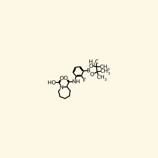 CC1(C)OB(c2cccc(NC(=O)C3CCCCCN3C(=O)O)c2F)OC1(C)C